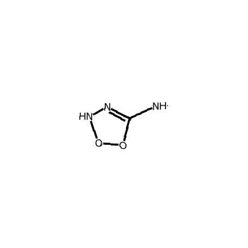 [NH]C1=NNOO1